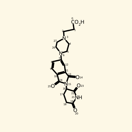 O=C(O)CCN1CCN(c2ccc3c(c2)C(=O)N(C2CCC(=O)NC2=O)C3=O)CC1